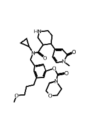 COCCCc1cc(CN(C(=O)C2CNCCC2c2ccn(C)c(=O)c2)C2CC2)cc(OC(=O)N2CCOCC2)c1